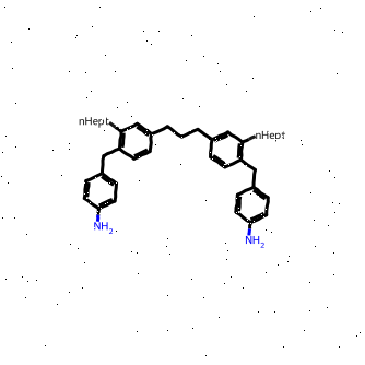 CCCCCCCc1cc(CCCc2ccc(Cc3ccc(N)cc3)c(CCCCCCC)c2)ccc1Cc1ccc(N)cc1